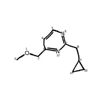 COCc1c[c]nc(CC2CC2)n1